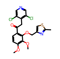 COc1ccc(C(=O)Cc2c(Cl)cncc2Cl)c(OCc2csc(C)n2)c1OC